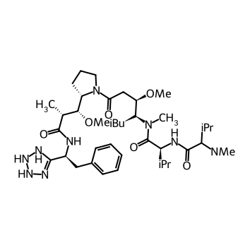 CC[C@H](C)[C@@H]([C@@H](CC(=O)N1CCC[C@H]1[C@H](OC)[C@@H](C)C(=O)N[C@@H](Cc1ccccc1)C1=NNNN1)OC)N(C)C(=O)[C@@H](NC(=O)C(NC)C(C)C)C(C)C